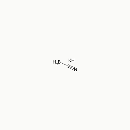 BC#N.[KH]